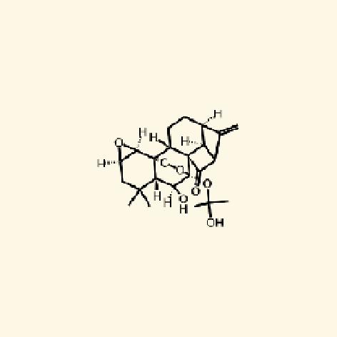 C=C1C2C(=O)[C@]34[C@H]2[C@H]1CC[C@H]3[C@@]12CO[C@]4(OC(C)(C)O)[C@@H](O)[C@@H]1C(C)(C)C[C@H]1O[C@H]12